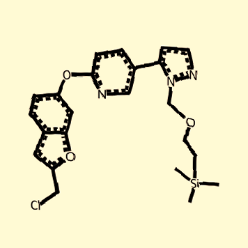 C[Si](C)(C)CCOCn1nccc1-c1ccc(Oc2ccc3cc(CCl)oc3c2)nc1